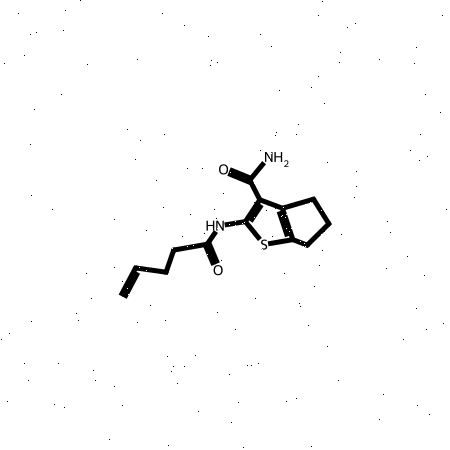 C=CCCC(=O)Nc1sc2c(c1C(N)=O)CCC2